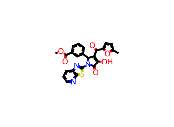 COC(=O)c1cccc(C2C(C(=O)c3ccc(C)o3)=C(O)C(=O)N2c2nc3cccnc3s2)c1